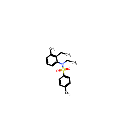 CCc1c(C)cccc1N(CC)S(=O)(=O)c1ccc(C)cc1